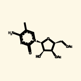 CC(=O)OC[C@H]1O[C@@H](n2cc(C)c(N)nc2=O)[C@@H](O)[C@@H]1OC(C)=O